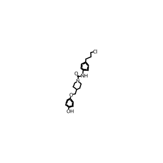 O=C(Nc1ccc(CCCCl)cc1)N1CCC(COc2ccc(O)cc2)CC1